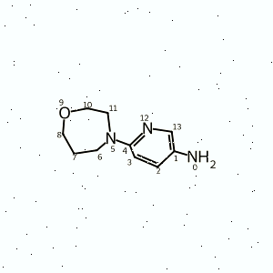 Nc1ccc(N2CCCOCC2)nc1